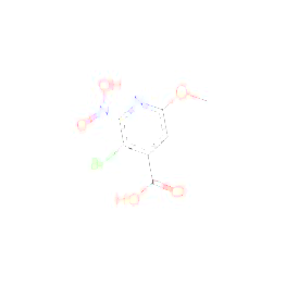 COc1cc(C(=O)O)c(Br)cn1.O=NO